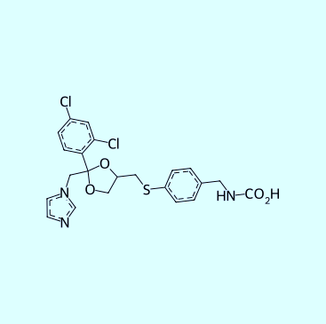 O=C(O)NCc1ccc(SCC2COC(Cn3ccnc3)(c3ccc(Cl)cc3Cl)O2)cc1